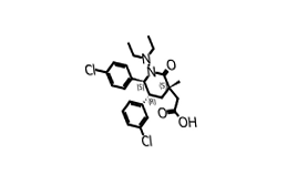 CCN(CC)N1C(=O)[C@](C)(CC(=O)O)C[C@H](c2cccc(Cl)c2)[C@H]1c1ccc(Cl)cc1